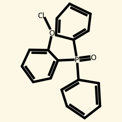 O=P(c1ccccc1)(c1ccccc1)c1ccccc1OCl